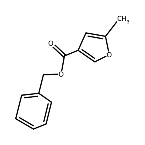 Cc1cc(C(=O)OCc2ccccc2)co1